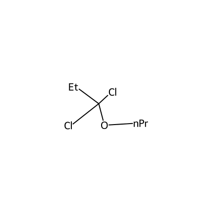 CCCOC(Cl)(Cl)CC